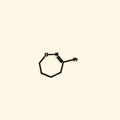 CC(C)C1=NOCCCC1